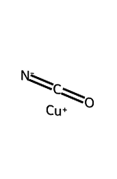 [Cu+].[N-]=C=O